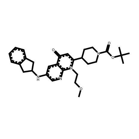 COCCn1c(C2CCN(C(=O)OC(C)(C)C)CC2)cc(=O)c2cc(NC3Cc4ccccc4C3)cnc21